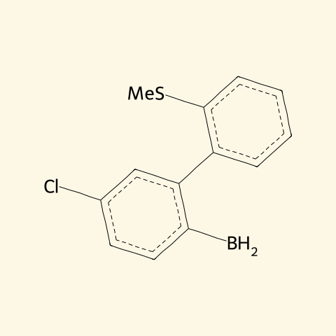 Bc1ccc(Cl)cc1-c1ccccc1SC